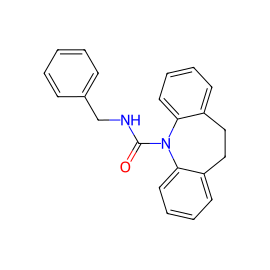 O=C(NCc1ccccc1)N1c2ccccc2CCc2ccccc21